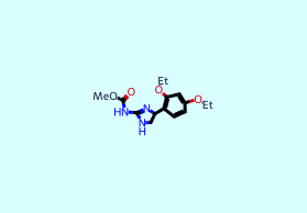 CCOc1ccc(C2CNC(NC(=O)OC)=N2)c(OCC)c1